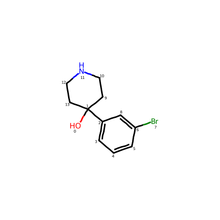 OC1(c2cccc(Br)c2)CCNCC1